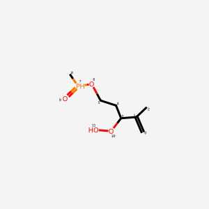 C=C(C)C(CCO[PH](C)=O)OO